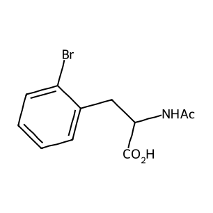 CC(=O)NC(Cc1ccccc1Br)C(=O)O